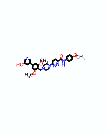 COc1ccc(NC(=O)c2ccc(N3CCN(Cc4c(OC)cc(-c5cncc(O)c5)cc4OC)CC3)nn2)cc1